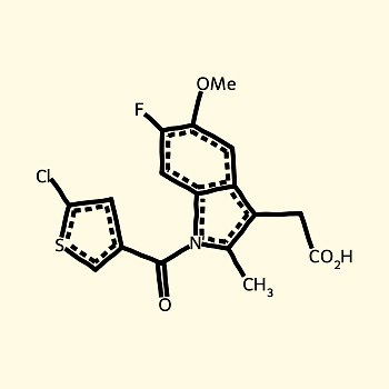 COc1cc2c(CC(=O)O)c(C)n(C(=O)c3csc(Cl)c3)c2cc1F